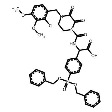 COc1ccc(CN2CCN(C(=O)NC(C(=O)O)c3ccc(P(=O)(OCc4ccccc4)OCc4ccccc4)cc3)C(=O)C2=O)c(Cl)c1OC